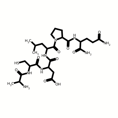 CC(C)CC(NC(=O)C(CC(=O)O)NC(=O)C(CS)NC(=O)C(C)N)C(=O)N1CCCC1C(=O)NC(CCC(N)=O)C(N)=O